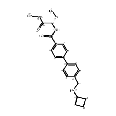 NC[C@H](NC(=O)c1ccc(-c2ccc(CNC3CCC3)cc2)cc1)C(=O)NO